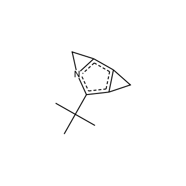 CC(C)(C)c1c2c(c3n1C3)C2